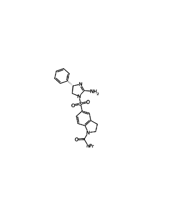 CCCC(=O)N1CCc2cc(S(=O)(=O)N3C[C@H](c4ccccc4)N=C3N)ccc21